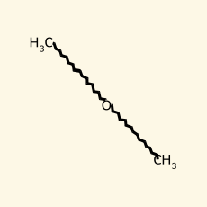 CCCCCCCCC=CCCCCCCCCOCCCCCCCCCCCCCCCC